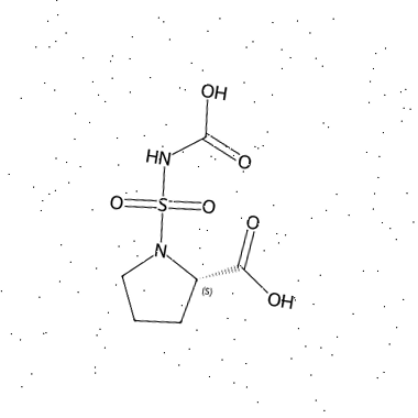 O=C(O)NS(=O)(=O)N1CCC[C@H]1C(=O)O